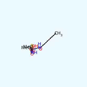 CC#CC#CC#CC#CC#CC#CC#CC#CC#CC#CC(=O)NCCCC/C=C/C[C@H]1C(OP(O)(=S)OC)[C@@H](COC)O[C@H]1n1ccc(=O)[nH]c1=O